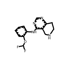 FC(F)Oc1ccccc1Nc1ncnc2c1CNCC2